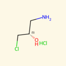 Cl.NC[C@H](O)CCl